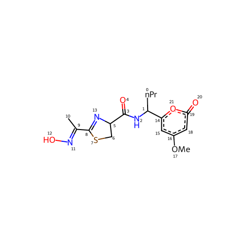 CCCC(NC(=O)C1CSC(/C(C)=N/O)=N1)c1cc(OC)cc(=O)o1